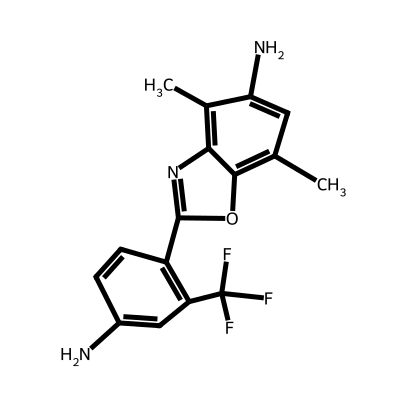 Cc1c(N)cc(C)c2oc(-c3ccc(N)cc3C(F)(F)F)nc12